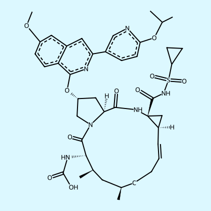 COc1ccc2c(O[C@@H]3C[C@H]4C(=O)N[C@]5(C(=O)NS(=O)(=O)C6CC6)C[C@H]5/C=C\CC[C@@H](C)C[C@@H](C)[C@H](NC(=O)O)C(=O)N4C3)nc(-c3ccc(OC(C)C)nc3)cc2c1